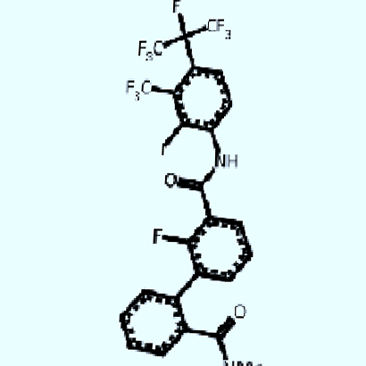 CNC(=O)c1ccccc1-c1cccc(C(=O)Nc2ccc(C(F)(C(F)(F)F)C(F)(F)F)c(C(F)(F)F)c2I)c1F